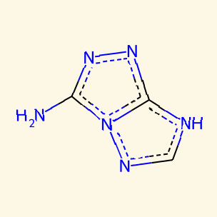 Nc1nnc2[nH]cnn12